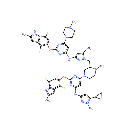 Cc1cc2c(F)c(Oc3nc(Nc4cc(C5CC5)n(C)n4)cc(N4CCN(C)C(Cn5nc(Nc6cc(N7CCN(C)CC7)nc(Oc7cc(F)c8[nH]c(C)cc8c7F)n6)cc5C)C4)n3)cc(F)c2[nH]1